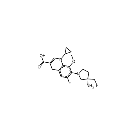 COc1c(N2CC[C@@](N)(CF)C2)c(F)cc2c1N(C1CC1)C=C(C(=O)O)C2